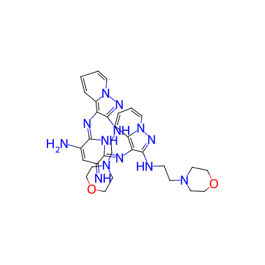 N=C1C=C(N)/C(=N/c2c(NCCN3CCOCC3)nn3ccccc23)N/C1=N\c1c(NCCN2CCOCC2)nn2ccccc12